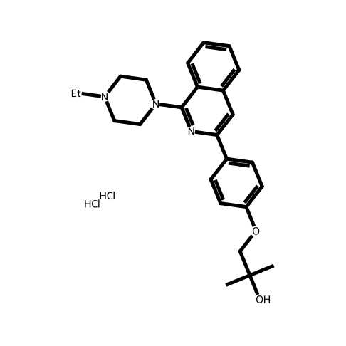 CCN1CCN(c2nc(-c3ccc(OCC(C)(C)O)cc3)cc3ccccc23)CC1.Cl.Cl